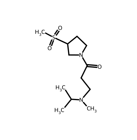 CC(C)N(C)CCC(=O)N1CCC(S(C)(=O)=O)C1